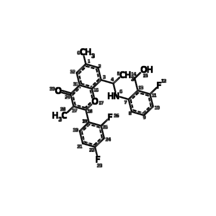 Cc1cc(C(C)Nc2cccc(F)c2CO)c2oc(-c3ccc(F)cc3F)c(C)c(=O)c2c1